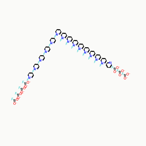 F[n+]1ccccc1.F[n+]1ccccc1.F[n+]1ccccc1.F[n+]1ccccc1.F[n+]1ccccc1.F[n+]1ccccc1.F[n+]1ccccc1.F[n+]1ccccc1.F[n+]1ccccc1.F[n+]1ccccc1.F[n+]1ccccc1.F[n+]1ccccc1.F[n+]1ccccc1.F[n+]1ccccc1.[O-]B([O-])F.[O-]B([O-])F.[O-]B([O-])F.[O-]B([O-])F.[O-]B([O-])F.[O-]B([O-])F.[O-]B([O-])F.c1ccncc1